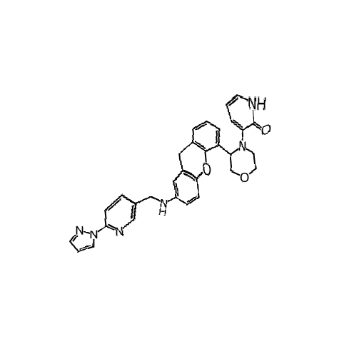 O=c1[nH]cccc1N1CCOCC1c1cccc2c1Oc1ccc(NCc3ccc(-n4cccn4)nc3)cc1C2